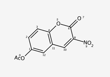 CC(=O)Oc1ccc2oc(=O)c([N+](=O)[O-])cc2c1